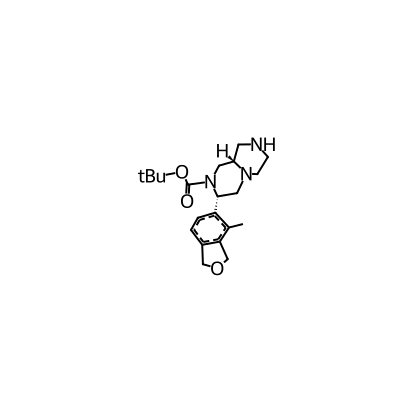 Cc1c([C@H]2CN3CCNC[C@H]3CN2C(=O)OC(C)(C)C)ccc2c1COC2